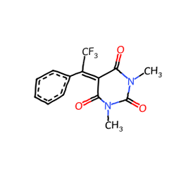 CN1C(=O)C(=C(c2ccccc2)C(F)(F)F)C(=O)N(C)C1=O